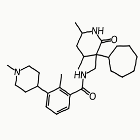 Cc1c(C(=O)NCC2(C3CCCCCC3)C(=O)NC(C)CC2C)cccc1C1CCN(C)CC1